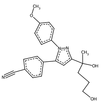 COc1ccc(-n2nc(C(C)(O)CCCO)cc2-c2ccc(C#N)cc2)cc1